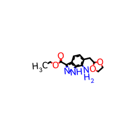 CCOC(=O)c1n[nH]c2c(N)c(CC3OCCO3)ccc12